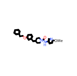 COc1ccc(NC(=O)N2CCC(=Cc3cccc(OCCc4ccccc4)c3)CC2)cn1